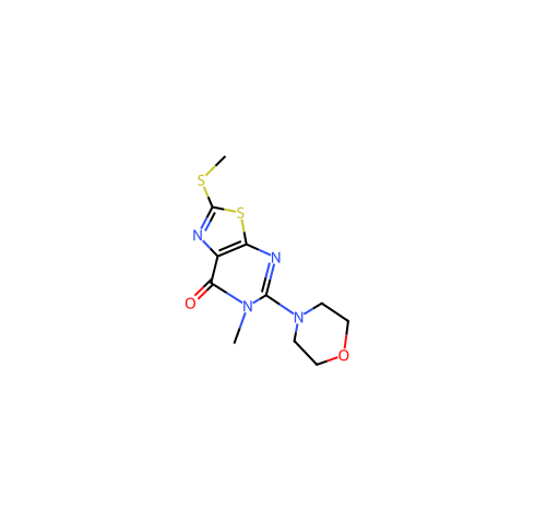 CSc1nc2c(=O)n(C)c(N3CCOCC3)nc2s1